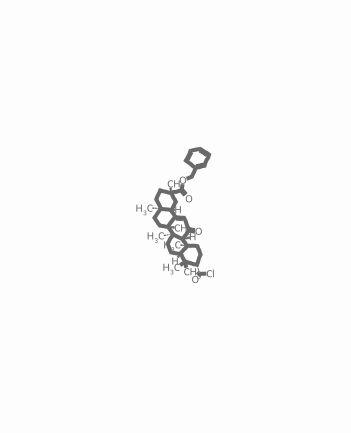 CC1(C)[C@@H](C(=O)Cl)CC[C@]2(C)[C@H]3C(=O)C=C4[C@@H]5C[C@@](C)(C(=O)OCc6ccccc6)CC[C@]5(C)CC[C@@]4(C)[C@]3(C)CC[C@@H]12